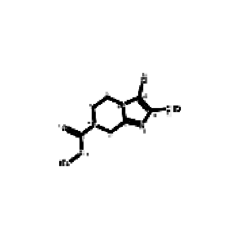 CC(C)(C)OC(=O)N1CCn2c(nc(C=O)c2Cl)C1